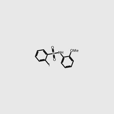 COc1ccccc1NS(=O)(=O)c1ccccc1I